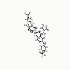 COC(=O)C(Cc1ccc(C(C)C)s1)NC(=O)c1cc2ccc(Oc3ccc(C(C)(C)C)cc3)cc2c(CC2CCCC2)n1